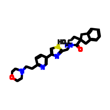 O=C(O)CC1(C(=O)NCc2nc(-c3ccc(CCN4CCOCC4)nc3)cs2)Cc2ccccc2C1